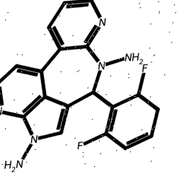 NN1c2ncccc2-c2ccnc3c2c(cn3N)C1C1=C(F)C=CCC1F